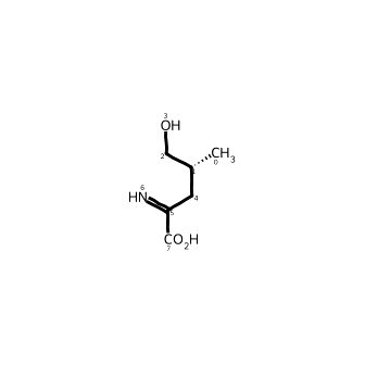 C[C@@H](CO)CC(=N)C(=O)O